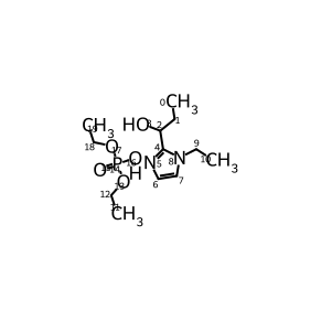 CCC(O)c1nccn1CC.CCOP(=O)(O)OCC